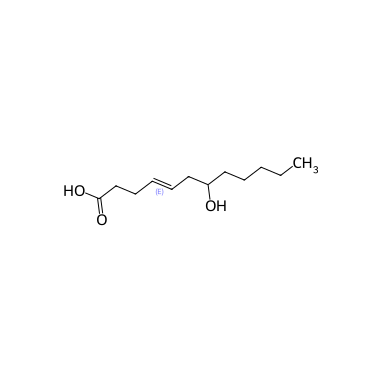 CCCCCC(O)C/C=C/CCC(=O)O